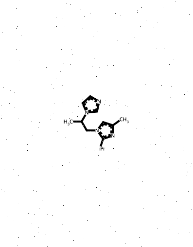 Cc1cn(CC(C)n2ccnc2)c(C(C)C)n1